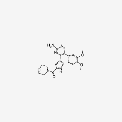 COc1ccc(-c2cnc(N)nc2-c2c[nH]c(C(=O)N3CCOCC3)c2)cc1OC